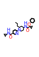 CCCC1CC(NC(=O)C2(Oc3ccccc3)CC2)CCN1c1ccc(C(=O)NC2CC2)cn1